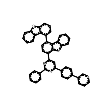 c1ccc(-c2nc(-c3ccc(-c4cccnc4)cc3)cc(-c3ccc(-c4cccc5oc6ccccc6c45)c4c3oc3ccccc34)n2)cc1